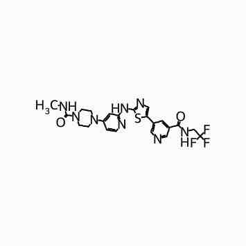 CNC(=O)N1CCN(c2ccnc(Nc3ncc(-c4cncc(C(=O)NCC(F)(F)F)c4)s3)c2)CC1